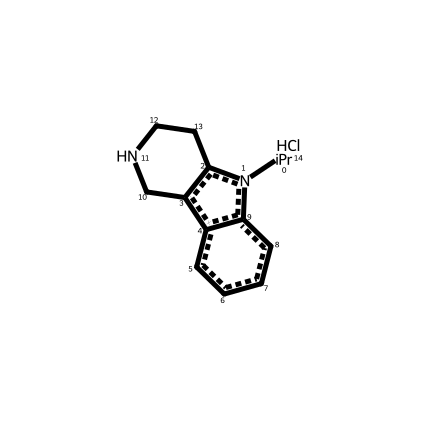 CC(C)n1c2c(c3ccccc31)CNCC2.Cl